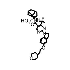 CC(C)(F)c1nc(N2CCc3cc(OCCC4CCOCC4)ccc32)ncc1C(=O)NC1(C(=O)O)C2CC3CC(C2)CC1C3